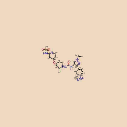 CC(C)n1cc(NC(=O)Nc2ccc(Oc3ccnc(NS(C)(=O)=O)c3)cc2F)c(-c2ccc3[nH]ncc3c2)n1